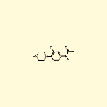 CC(=O)N(C)c1ccc(N2CCNCC2)c(F)c1